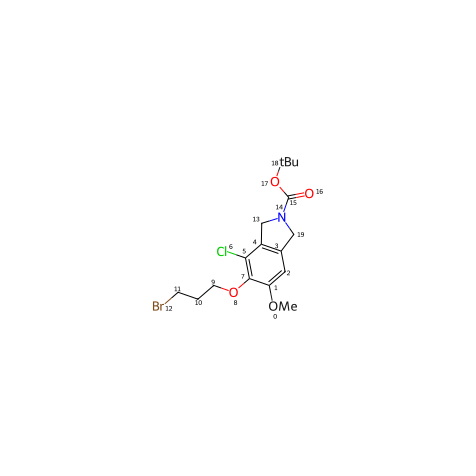 COc1cc2c(c(Cl)c1OCCCBr)CN(C(=O)OC(C)(C)C)C2